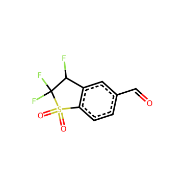 O=Cc1ccc2c(c1)C(F)C(F)(F)S2(=O)=O